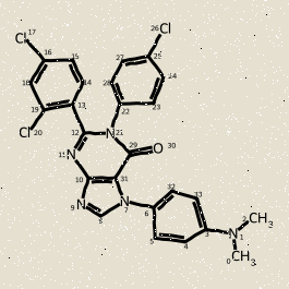 CN(C)c1ccc(-n2cnc3nc(-c4ccc(Cl)cc4Cl)n(-c4ccc(Cl)cc4)c(=O)c32)cc1